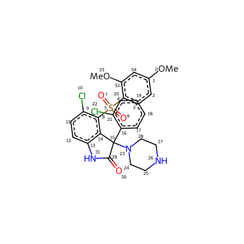 COc1ccc(S(=O)(=O)c2c(Cl)ccc3c2C(c2ccccc2Cl)(N2CCNCC2)C(=O)N3)c(OC)c1